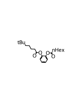 CCCCCCC(=O)Oc1ccccc1OC(=O)CCCCC(C)(C)C